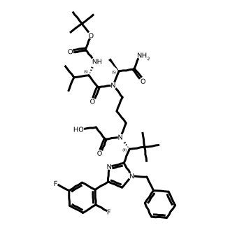 CC(C)[C@H](NC(=O)OC(C)(C)C)C(=O)N(CCCN(C(=O)CO)[C@@H](c1nc(-c2cc(F)ccc2F)cn1Cc1ccccc1)C(C)(C)C)[C@@H](C)C(N)=O